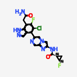 NC(=O)Cc1c(F)c(Cl)c(-c2cn3cc(NC(=O)[C@@H]4C[C@@H]4F)nc3cn2)c2cn[nH]c12